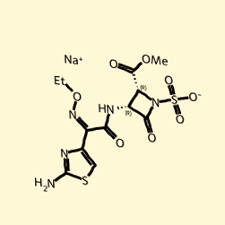 CCON=C(C(=O)N[C@H]1C(=O)N(S(=O)(=O)[O-])[C@H]1C(=O)OC)c1csc(N)n1.[Na+]